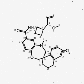 C=C[C@H](OC)[C@@H]1CC[C@H]1CN1C[C@@]2(CCCc3cc(Cl)ccc32)COc2ccc(C(N)=O)cc21